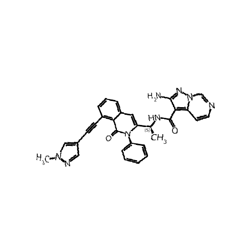 C[C@H](NC(=O)c1c(N)nn2cnccc12)c1cc2cccc(C#Cc3cnn(C)c3)c2c(=O)n1-c1ccccc1